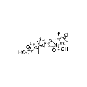 O=c1cc(-c2ccnc(N[C@H]3CCO[C@@H](CO)C3)n2)ccn1C(CO)c1ccc(Cl)c(F)c1